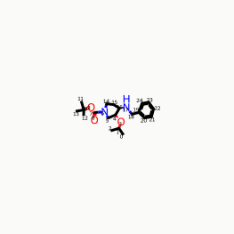 CC(C)O[C@H]1CN(C(=O)OC(C)(C)C)CC[C@H]1NCc1ccccc1